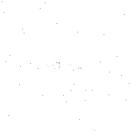 C=CCN1CCc2nc(N)oc2CC1